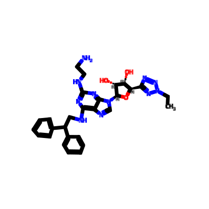 CCn1nnc([C@H]2O[C@@H](n3cnc4c(NCC(c5ccccc5)c5ccccc5)nc(NCCN)nc43)[C@H](O)[C@@H]2O)n1